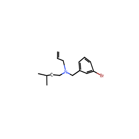 C=CCN(CCC(C)C)Cc1cccc(Br)c1